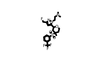 CN(C)CCn1nc(CF)cc1C1CC(C)(S(=O)(=O)c2cccc(C(F)(F)F)c2)CCO1